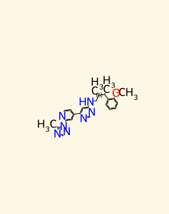 COc1ccccc1C(C)[C@H](C)CNc1cc(-c2ccnc(-n3ncnc3C)c2)ncn1